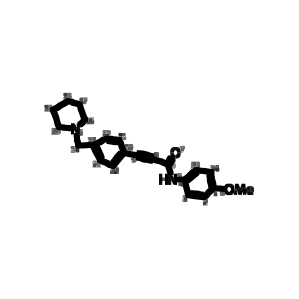 COc1ccc(NC(=O)C#Cc2ccc(CN3CCCCC3)cc2)cc1